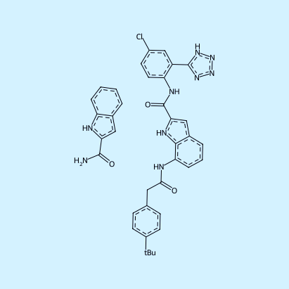 CC(C)(C)c1ccc(CC(=O)Nc2cccc3cc(C(=O)Nc4ccc(Cl)cc4-c4nnn[nH]4)[nH]c23)cc1.NC(=O)c1cc2ccccc2[nH]1